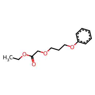 CCOC(=O)COCCCOc1ccccc1